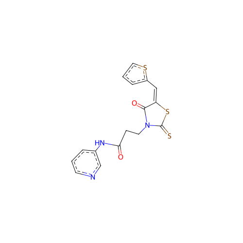 O=C(CCN1C(=O)/C(=C\c2cccs2)SC1=S)Nc1cccnc1